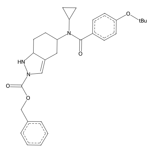 CC(C)(C)Oc1ccc(C(=O)N(C2CC2)C2CCC3NN(C(=O)OCc4ccccc4)C=C3C2)cc1